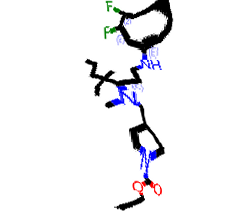 CCCC(C)(C)/C(=C\CNC1=C/CC/C=C(F)/C(F)=C\1)N(C)CC1=CCN(C(=O)OCC)CC1